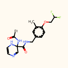 CCC(=O)NC1(C(=O)NCc2ccc(OCC(F)F)c(C)c2)C=NC=CN1